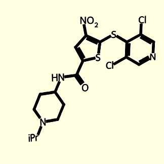 CC(C)N1CCC(NC(=O)c2cc([N+](=O)[O-])c(Sc3c(Cl)cncc3Cl)s2)CC1